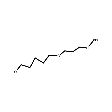 CCCOCCCOCCCCC[O]